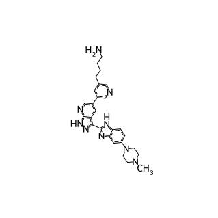 CN1CCN(c2ccc3[nH]c(-c4n[nH]c5ncc(-c6cncc(CCCCN)c6)cc45)nc3c2)CC1